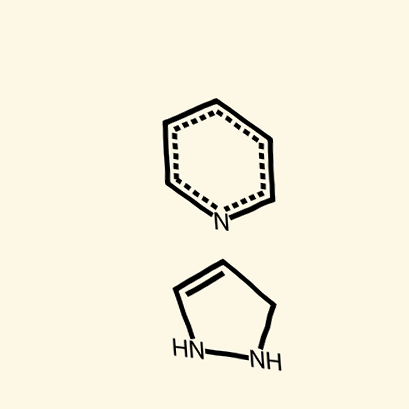 C1=CNNC1.c1ccncc1